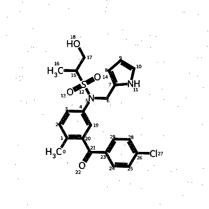 Cc1ccc(N(Cc2ccc[nH]2)S(=O)(=O)C(C)CO)cc1C(=O)c1ccc(Cl)cc1